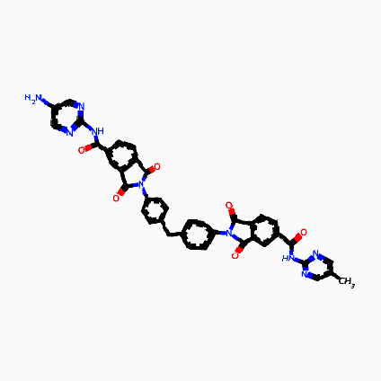 Cc1cnc(NC(=O)c2ccc3c(c2)C(=O)N(c2ccc(Cc4ccc(N5C(=O)c6ccc(C(=O)Nc7ncc(N)cn7)cc6C5=O)cc4)cc2)C3=O)nc1